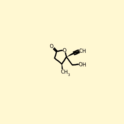 C#C[C@]1(CO)OC(=O)C[C@@H]1C